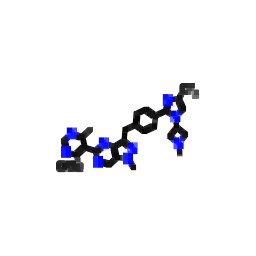 COc1ncnc(C)c1-c1ncc2c(n1)c(Cc1ccc(-c3nc(C(F)(F)F)cn3C3CN(C)C3)cc1)nn2C